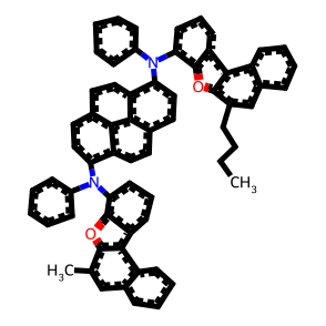 CCCCc1cc2ccccc2c2c1oc1c(N(c3ccccc3)c3ccc4ccc5c(N(c6ccccc6)c6cccc7c6oc6c(C)cc8ccccc8c67)ccc6ccc3c4c65)cccc12